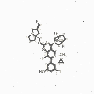 C[C@@H]1C[C@@H]1c1c(Cl)cc(O)cc1-c1ncc2c(N3C[C@H]4CC[C@@H](C3)N4)nc(OC[C@@]34CCCN3C/C(=C\F)C4)nc2c1F